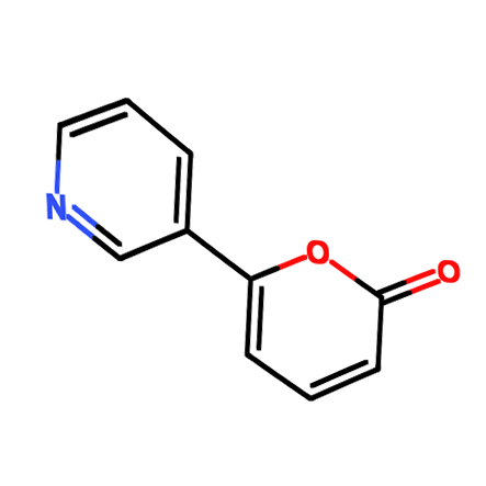 O=c1cccc(-c2cccnc2)o1